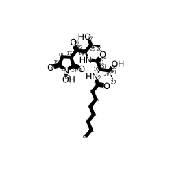 CCCCCCCC(=O)N[C@H](C(=O)N[C@@H](C(=O)C1CC(=O)N(O)C1=O)[C@H](C)O)[C@@H](C)O